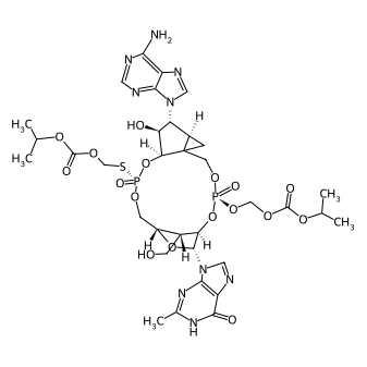 Cc1nc2c(ncn2[C@@H]2O[C@@H]3CO[P@](=O)(SCOC(=O)OC(C)C)O[C@H]4[C@@H](O)[C@H](n5cnc6c(N)ncnc65)[C@H]5CC54CO[P@@](=O)(OCOC(=O)OC(C)C)O[C@@H]2[C@@H]3CO)c(=O)[nH]1